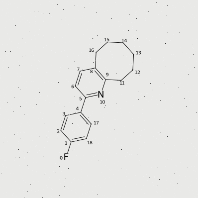 Fc1ccc(-c2ccc3c(n2)CCCCCC3)cc1